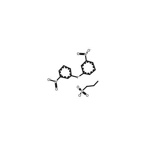 CCCS(=O)(=O)[O-].O=[N+]([O-])c1cccc([I+]c2cccc([N+](=O)[O-])c2)c1